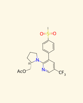 CC(=O)OC[C@@H]1CCCN1c1ncc(C(F)(F)F)cc1-c1ccc(S(C)(=O)=O)cc1